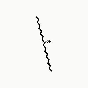 CCC=CCCCCCCC(O)CCCCCCCCC